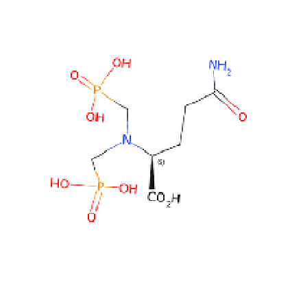 NC(=O)CC[C@@H](C(=O)O)N(CP(=O)(O)O)CP(=O)(O)O